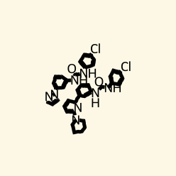 O=C(Nc1ccc(Cl)cc1)Nc1cccc(-c2cccc(N3CCCCC3)n2)c1.O=C(Nc1ccc(Cl)cc1)Nc1cccc(-n2cccn2)c1